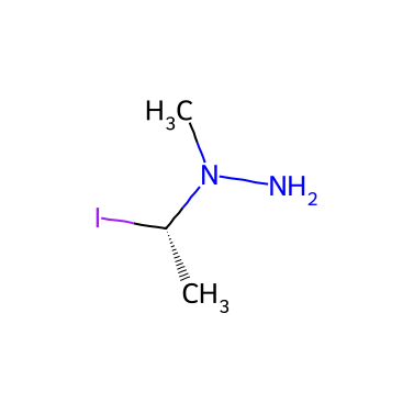 C[C@H](I)N(C)N